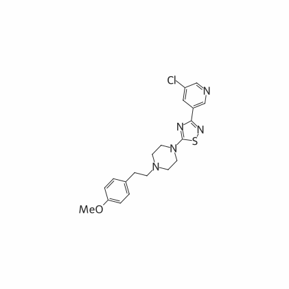 COc1ccc(CCN2CCN(c3nc(-c4cncc(Cl)c4)ns3)CC2)cc1